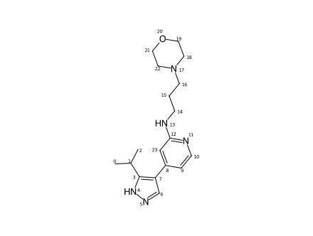 CC(C)c1[nH]ncc1-c1ccnc(NCCCN2CCOCC2)c1